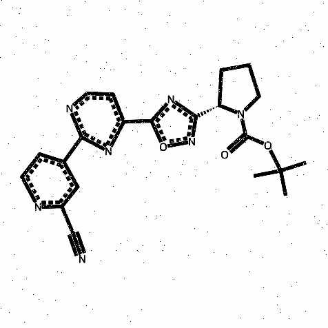 CC(C)(C)OC(=O)N1CCC[C@H]1c1noc(-c2ccnc(-c3ccnc(C#N)c3)n2)n1